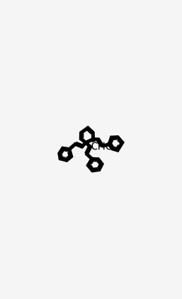 O=CC1(C=Cc2ccccc2)C=CC=CC1(C=Cc1ccccc1)C=Cc1ccccc1